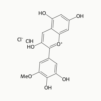 COc1cc(-c2[o+]c3cc(O)cc(O)c3cc2O)cc(O)c1O.Cl.[Cl-]